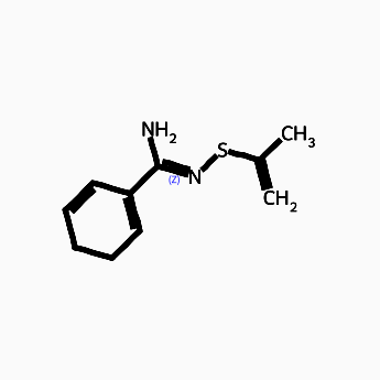 C=C(C)S/N=C(\N)C1=CCCC=C1